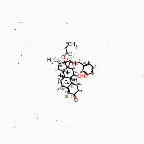 CCC(=O)O[C@]1(C(=S)OCc2ccccc2)[C@H](C)C[C@H]2[C@@H]3C[C@H](F)C4=C(F)C(=O)CC[C@]4(C)[C@H]3[C@@H](O)C[C@@]21C